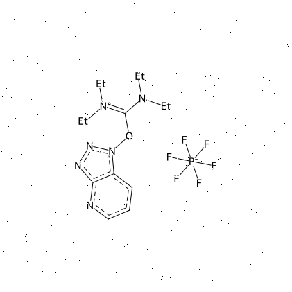 CCN(CC)C(On1nnc2ncccc21)=[N+](CC)CC.F[P-](F)(F)(F)(F)F